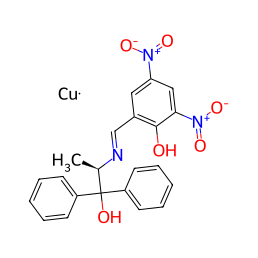 C[C@@H](N=Cc1cc([N+](=O)[O-])cc([N+](=O)[O-])c1O)C(O)(c1ccccc1)c1ccccc1.[Cu]